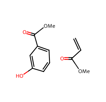 C=CC(=O)OC.COC(=O)c1cccc(O)c1